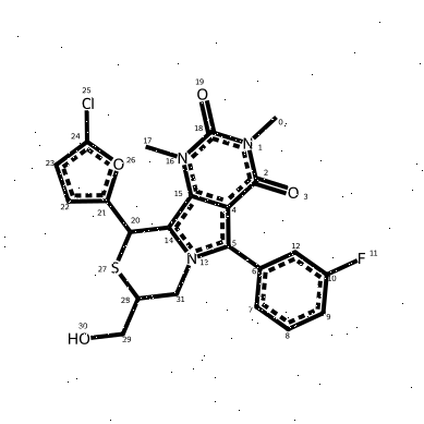 Cn1c(=O)c2c(-c3cccc(F)c3)n3c(c2n(C)c1=O)C(c1ccc(Cl)o1)SC(CO)C3